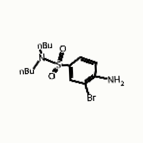 CCCCN(CCCC)S(=O)(=O)c1ccc(N)c(Br)c1